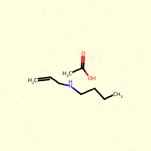 C=CCNCCCC.CC(=O)O